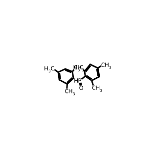 Cc1cc(C)c([PH](=O)c2c(C)cc(C)cc2C)c(C)c1